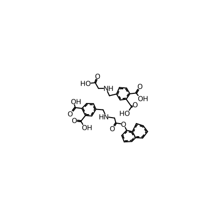 O=C(CNCc1ccc(C(=O)O)c(C(=O)O)c1)Oc1cccc2ccccc12.O=C(O)CNCc1ccc(C(=O)O)c(C(=O)O)c1